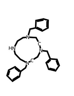 c1ccc(CN2CCNCCN(Cc3ccccc3)CCN(Cc3ccccc3)CC2)cc1